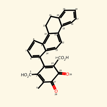 CC1=C(C(=O)O)C(c2cccc3c4c(ccc23)-c2ccccc2CC4)=C(C(=O)O)C(=O)C1=O